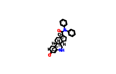 C[C@]12CCC(=O)C=C1NC[C@@H]1[C@H]2CC[C@]2(C)C(C(=O)N(c3ccccc3)c3ccccc3)CC[C@@H]12